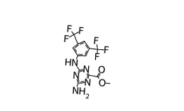 COC(=O)c1nc(N)nc(Nc2cc(C(F)(F)F)cc(C(F)(F)F)c2)n1